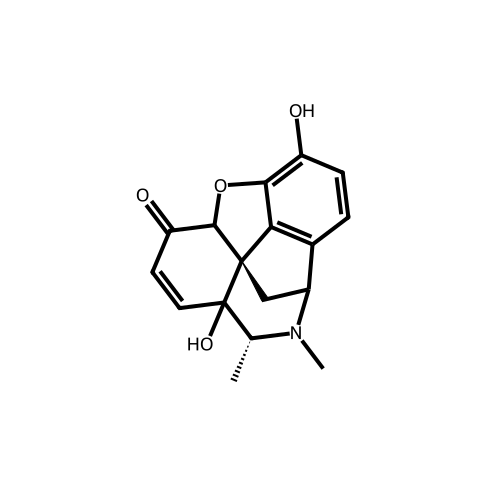 C[C@H]1N(C)C2C[C@]34c5c2ccc(O)c5OC3C(=O)C=CC14O